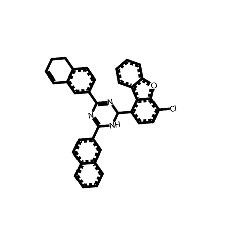 Clc1ccc(C2N=C(c3ccc4c(c3)C=CCC4)N=C(c3ccc4ccccc4c3)N2)c2c1oc1ccccc12